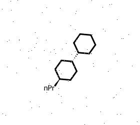 CCC[C@H]1CC[C@H](C2[CH]CCCC2)CC1